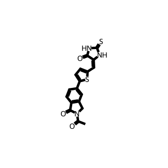 CC(=O)N1Cc2cc(-c3ccc(/C=C4/NC(=S)NC4=O)s3)ccc2C1=O